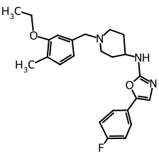 CCOc1cc(CN2CCC(Nc3ncc(-c4ccc(F)cc4)o3)CC2)ccc1C